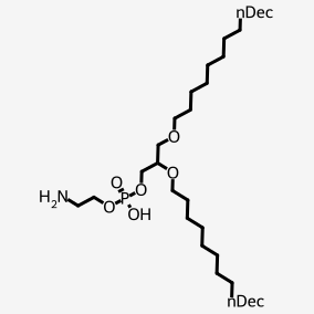 CCCCCCCCCCCCCCCCCCOCC(COP(=O)(O)OCCN)OCCCCCCCCCCCCCCCCCC